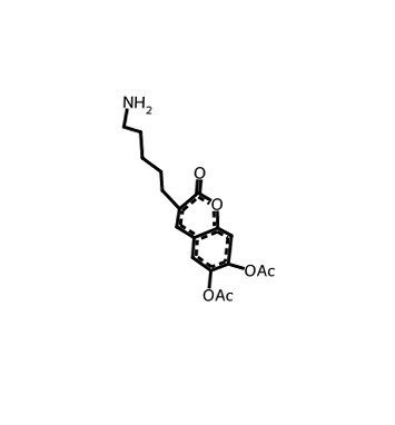 CC(=O)Oc1cc2cc(CCCCCN)c(=O)oc2cc1OC(C)=O